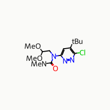 CNC(=O)N(CC(OC)OC)c1cc(C(C)(C)C)c(Cl)nn1